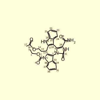 CCOC(=O)n1cc(-n2c(-c3c(CCCOC(C)=O)[nH]c4ccccc34)c(C(N)=O)[nH]c2=O)c2ccccc21